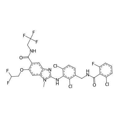 Cn1c(Nc2c(Cl)ccc(CNC(=O)c3c(F)cccc3Cl)c2Cl)nc2cc(C(=O)NCC(F)(F)F)c(OCC(F)F)cc21